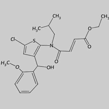 CCOC(=O)/C=C/C(=O)N(CC(C)C)c1sc(Cl)cc1C(O)c1ccccc1OC